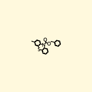 Cc1ccc2c(c1)Sc1ccccc1N2C(=O)OCc1ccccc1